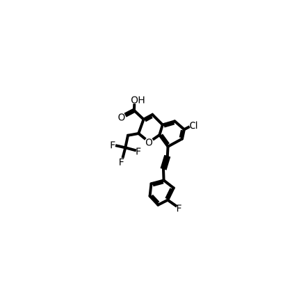 O=C(O)C1=Cc2cc(Cl)cc(C#Cc3cccc(F)c3)c2OC1CC(F)(F)F